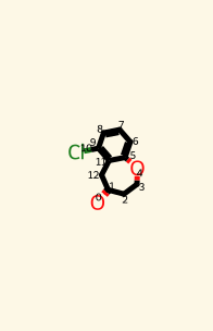 O=C1CCOc2cccc(Cl)c2C1